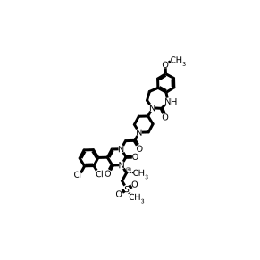 COc1ccc2c(c1)CCN(C1CCN(C(=O)Cn3cc(-c4cccc(Cl)c4Cl)c(=O)n([C@H](C)CS(C)(=O)=O)c3=O)CC1)C(=O)N2